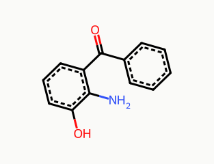 Nc1c(O)cccc1C(=O)c1ccccc1